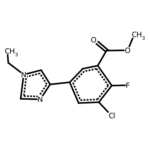 CCn1cnc(-c2cc(Cl)c(F)c(C(=O)OC)c2)c1